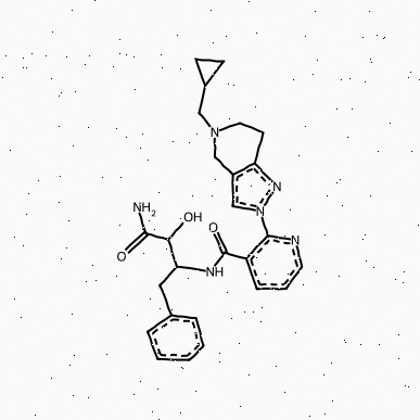 NC(=O)C(O)C(Cc1ccccc1)NC(=O)c1cccnc1-n1cc2c(n1)CCN(CC1CC1)C2